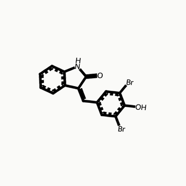 O=C1Nc2ccccc2C1=Cc1cc(Br)c(O)c(Br)c1